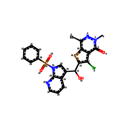 CCc1nn(C)c(=O)c2c(Br)c(C(O)c3cn(S(=O)(=O)c4ccccc4)c4ncccc34)sc12